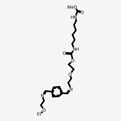 CCOCC/N=C\c1ccc(/C=N\CCOCCOC(=O)NCCCCCCNC(=O)OC)cc1